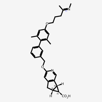 C/N=C(\C)CCCOc1cc(C)c(-c2cccc(COc3cc4c(cn3)[C@H]3[C@@H](C4)[C@@H]3C(=O)O)c2)c(C)c1